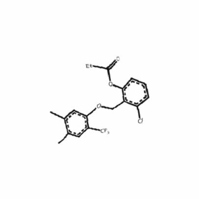 CCC(=O)Oc1cccc(Cl)c1COc1cc(C)c(C)cc1C(F)(F)F